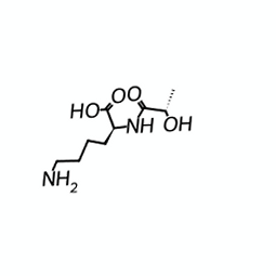 C[C@H](O)C(=O)N[C@@H](CCCCN)C(=O)O